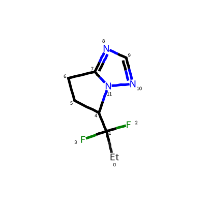 CCC(F)(F)C1CCc2ncnn21